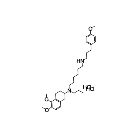 CCCN(CCCCCCNCCCc1ccc(OC)cc1)C1CCc2c(ccc(OC)c2OC)C1.Cl.Cl